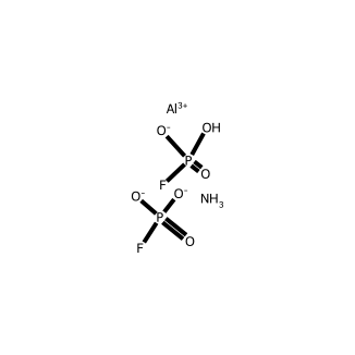 N.O=P([O-])(O)F.O=P([O-])([O-])F.[Al+3]